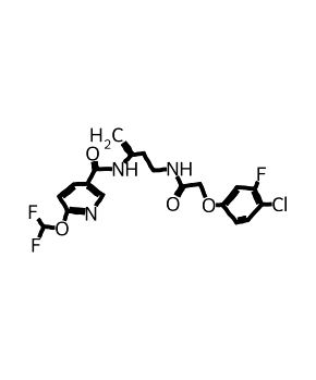 C=C(CCNC(=O)COc1ccc(Cl)c(F)c1)NC(=O)c1ccc(OC(F)F)nc1